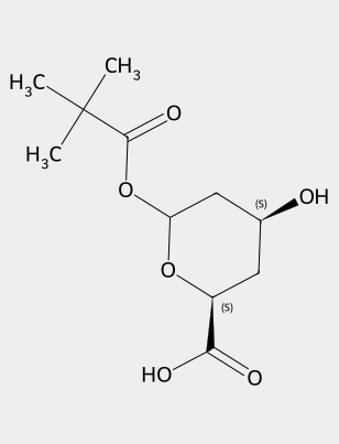 CC(C)(C)C(=O)OC1C[C@@H](O)C[C@@H](C(=O)O)O1